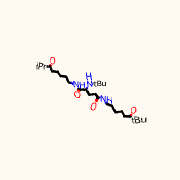 CC(C)C(=O)CCCCCNC(=O)C(CCC(=O)NCCCCCC(=O)C(C)(C)C)NC(C)(C)C